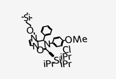 COc1ccc(N(C(=O)C#C[Si](C(C)C)(C(C)C)C(C)C)C(c2ccccc2)c2nccn2COCC[Si](C)(C)C)cc1Cl